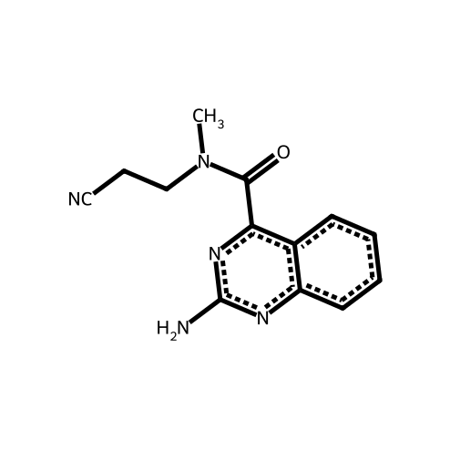 CN(CCC#N)C(=O)c1nc(N)nc2ccccc12